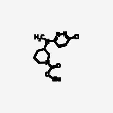 CN(c1ccc(Cl)nn1)[C@@H]1CCCN(C(=O)OC(C)(C)C)C1